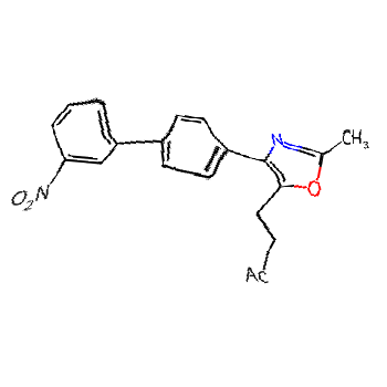 CC(=O)CCc1oc(C)nc1-c1ccc(-c2cccc([N+](=O)[O-])c2)cc1